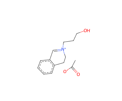 CC(=O)[O-].OCCC[N+]1=Cc2ccccc2CC1